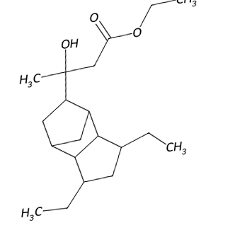 CCOC(=O)CC(C)(O)C1CC2CC1C1C(CC)CC(CC)C21